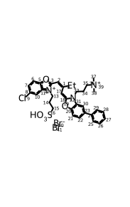 CCC(=Cc1oc2ccc(Cl)cc2[n+]1CCCS(=O)(=O)O)C=C1Oc2ccc(-c3ccccc3)cc2N1CCC[N+](C)(C)C.[Br-].[Br-]